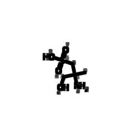 CC(N)(CO)CS(=O)(=O)O